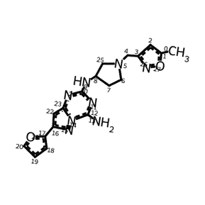 Cc1cc(CN2CCC(Nc3nc(N)n4nc(-c5ccco5)cc4n3)C2)no1